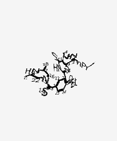 CCCc1nn(C)c2c(=S)[nH]c(-c3cc(C(=S)N4CC(C)NC(C)C4)ccc3OCC)nc12